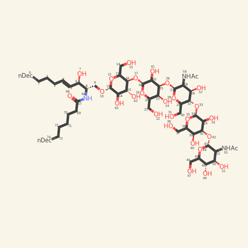 CCCCCCCCCCCCC/C=C/[C@@H](O)[C@H](CO[C@@H]1OC(CO)[C@@H](O[C@@H]2OC(CO)[C@H](O)[C@H](O[C@@H]3OC(CO)[C@@H](O[C@@H]4OC(CO)[C@H](O)[C@H](O[C@H]5OC(CO)[C@@H](O)[C@H](O)C5NC(C)=O)C4O)[C@H](O)C3NC(C)=O)C2O)[C@H](O)C1O)NC(=O)CCCCCCCCCCCCCCC